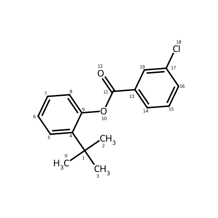 CC(C)(C)c1ccccc1OC(=O)c1cccc(Cl)c1